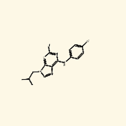 CC(C)Cn1cnc2c(Nc3ccc(Cl)cc3)nc(Cl)nc21